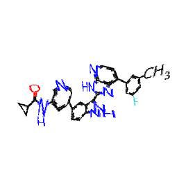 Cc1cc(F)cc(-c2ccnc3[nH]c(-c4n[nH]c5ccc(-c6cncc(NC(=O)C7CC7)c6)cc45)nc23)c1